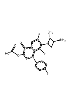 C[C@@H]1[C@@H](N)CN1c1c(F)cc2c(=O)c(OC(=O)O)cn(-c3ccc(F)cc3)c2c1F